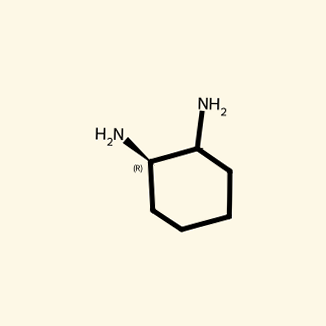 N[C]1CCCC[C@H]1N